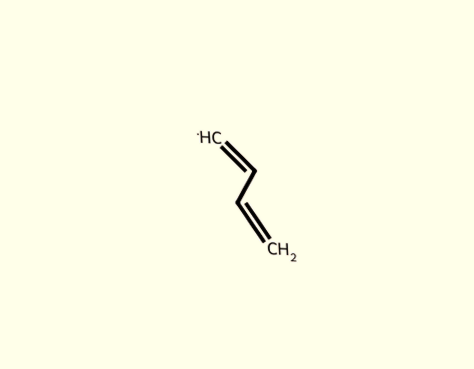 [CH]=CC=C